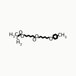 C=C(C)C(=O)OCCCCCC(=O)OCCCCCCOc1ccc(C)cc1